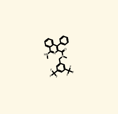 CNc1nc(C(=O)N(C)Cc2cc(C(F)(F)F)cc(C(F)(F)F)c2)c(-c2ccccc2)c2ccccc12